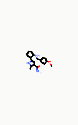 COc1ccc(CNc2ccccc2-c2cc(C(N)=O)c(C)[nH]2)cc1